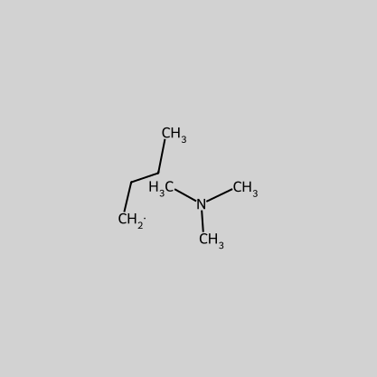 CN(C)C.[CH2]CCC